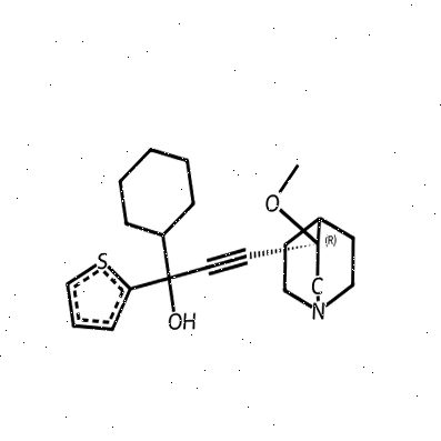 CO[C@]1(C#CC(O)(c2cccs2)C2CCCCC2)CN2CCC1CC2